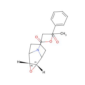 CCOC(=O)N1C2CC(CC(=O)c3ccccc3)CC1[C@@H]1O[C@H]21